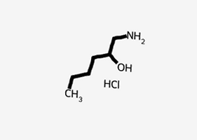 CCCCC(O)CN.Cl